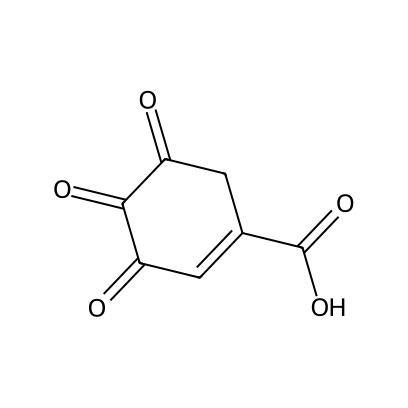 O=C(O)C1=CC(=O)C(=O)C(=O)C1